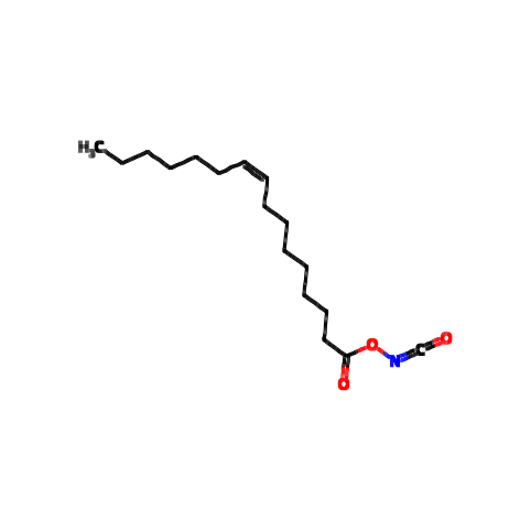 CCCCCC/C=C\CCCCCCCC(=O)ON=C=O